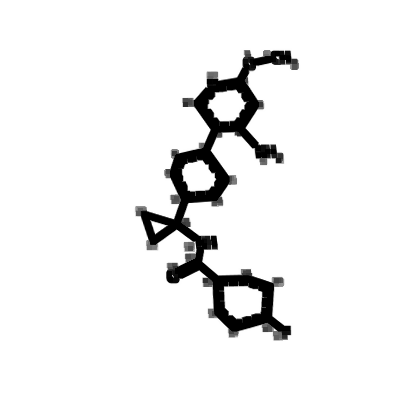 COc1cc(N)c(-c2ccc(C3(NC(=O)c4ccc(F)cc4)CC3)cc2)cn1